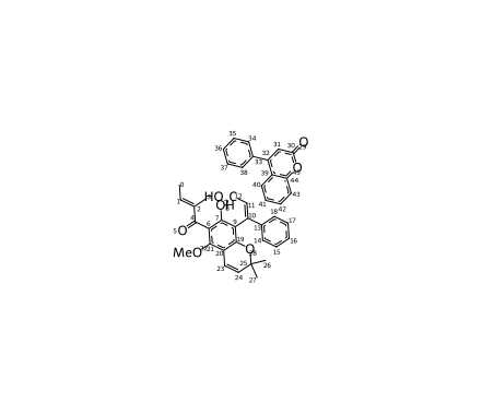 C/C=C(\C)C(=O)c1c(O)c(/C(=C\C(=O)O)c2ccccc2)c2c(c1OC)C=CC(C)(C)O2.O=c1cc(-c2ccccc2)c2ccccc2o1